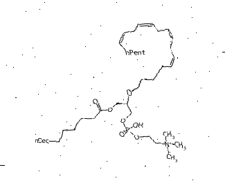 CCCCC/C=C\C/C=C\C/C=C\C/C=C\CCCCO[C@H](COC(=O)CCCCCCCCCCCCCCC)COP(=O)(O)OCC[N+](C)(C)C